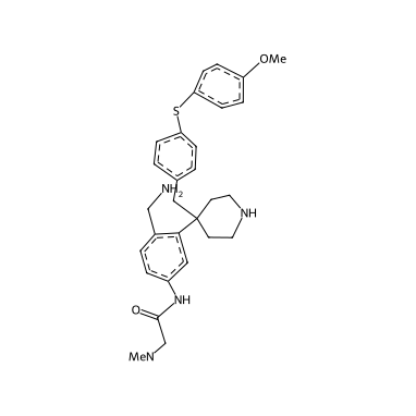 CNCC(=O)Nc1ccc(CN)c(C2(Cc3ccc(Sc4ccc(OC)cc4)cc3)CCNCC2)c1